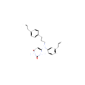 C=CCc1ccc(CCCN(c2ccc(C)c(CC=C)c2)c2cc(=O)[nH]c(=O)[nH]2)cc1